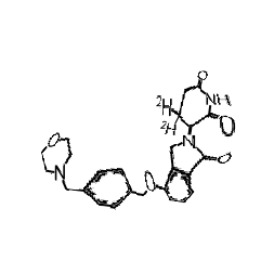 [2H]C1([2H])CC(=O)NC(=O)C1N1Cc2c(OCc3ccc(CN4CCOCC4)cc3)cccc2C1=O